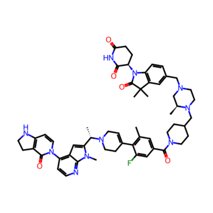 Cc1cc(C(=O)N2CCC(CN3CCN(Cc4ccc5c(c4)C(C)(C)C(=O)N5[C@@H]4CCC(=O)NC4=O)C[C@@H]3C)CC2)cc(F)c1C1=CCN([C@@H](C)c2cc3c(-n4ccc5c(c4=O)CCN5)ccnc3n2C)CC1